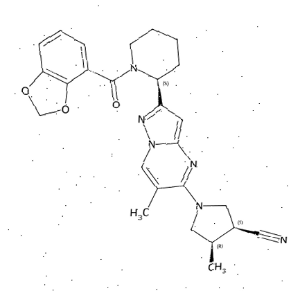 Cc1cn2nc([C@@H]3CCCCN3C(=O)c3cccc4c3OCO4)cc2nc1N1C[C@@H](C#N)[C@@H](C)C1